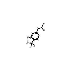 CC(C)Cc1ccc2c(c1)OCC2(C)C